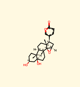 C[C@]12CC[C@H](O)C[C@@]1(O)CC[C@@H]1[C@@H]2CC[C@]2(C)[C@@H](c3ccc(=O)oc3)C[C@H]3O[C@]132